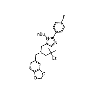 CCCCn1c(CN(Cc2ccc3c(c2)OCO3)CC(C)(C)CC)cnc1-c1ccc(F)cc1